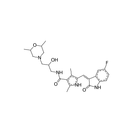 Cc1[nH]c(/C=C2\C(=O)Nc3ccc(F)cc32)c(C)c1C(=O)NCC(O)CN1CC(C)OC(C)C1